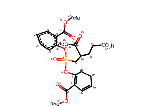 CCCCOC(=O)C1=C(OP(=O)(CC(CCC(=O)O)C(=O)OC)Oc2ccccc2C(=O)OCCCC)CCC=C1